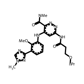 CCCOCCC(=O)Nc1cc(Nc2cccc(-c3ncn(C)n3)c2OC)c(C(=O)NC)nn1